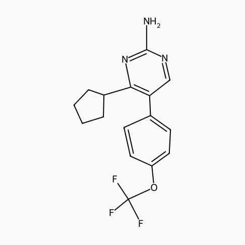 Nc1ncc(-c2ccc(OC(F)(F)F)cc2)c(C2CCCC2)n1